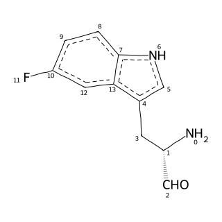 N[C@H](C=O)Cc1c[nH]c2ccc(F)cc12